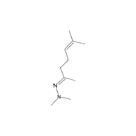 CC(C)=CCC/C(C)=N/N(C)C